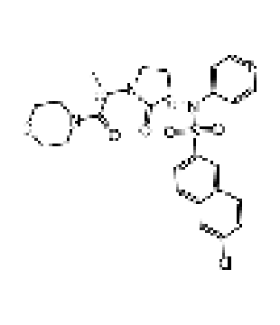 C[C@@H](C(=O)N1CCOCC1)N1CC[C@H](N(c2ccncc2)S(=O)(=O)c2ccc3cc(Cl)ccc3c2)C1=O